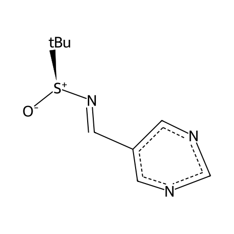 CC(C)(C)[S@+]([O-])N=Cc1cncnc1